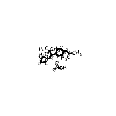 CC(C)Cc1ccc(C(=Cn2ccnc2)C(C)(C)C)cc1.O=[N+]([O-])O